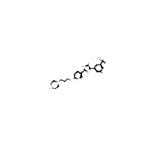 Cc1[nH]c(-c2ccc(OCCCN3CCN(C)CC3)nc2)nc1-c1cccc(C(F)(F)F)c1